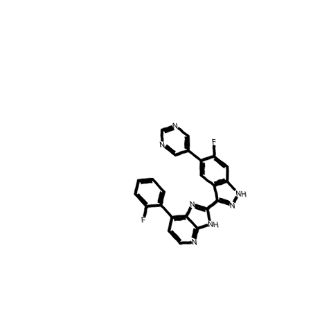 Fc1cc2[nH]nc(-c3nc4c(-c5ccccc5F)ccnc4[nH]3)c2cc1-c1cncnc1